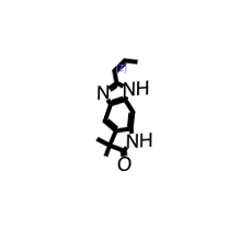 C/C=C\c1nc2cc3c(cc2[nH]1)NC(=O)C3(C)C